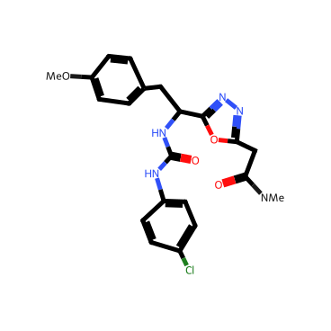 CNC(=O)Cc1nnc(C(Cc2ccc(OC)cc2)NC(=O)Nc2ccc(Cl)cc2)o1